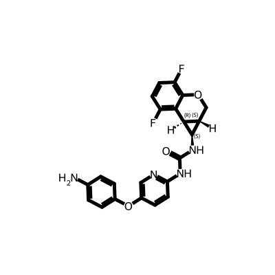 Nc1ccc(Oc2ccc(NC(=O)N[C@@H]3[C@H]4COc5c(F)ccc(F)c5[C@@H]43)nc2)cc1